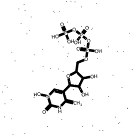 C=C1NC(=O)N(O)C=C1C1OC(COP(=O)(O)OP(=O)(O)OP(=O)(O)O)C(O)C1O